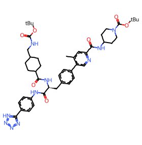 Cc1cc(C(=O)NC2CCN(C(=O)OC(C)(C)C)CC2)ncc1-c1ccc(C[C@H](NC(=O)C2CCC(CNC(=O)OC(C)(C)C)CC2)C(=O)Nc2ccc(-c3nnn[nH]3)cc2)cc1